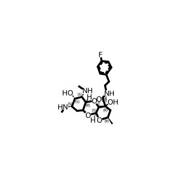 CN[C@H]1[C@@H](O)[C@@H](NC)CC2O[C@@H]3O[C@H](C)C[C@@](O)(CNCCc4ccc(F)cc4)[C@]3(O)O[C@@H]21